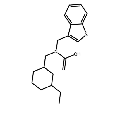 C=C(O)N(Cc1csc2ccccc12)CC1CCCC(CC)C1